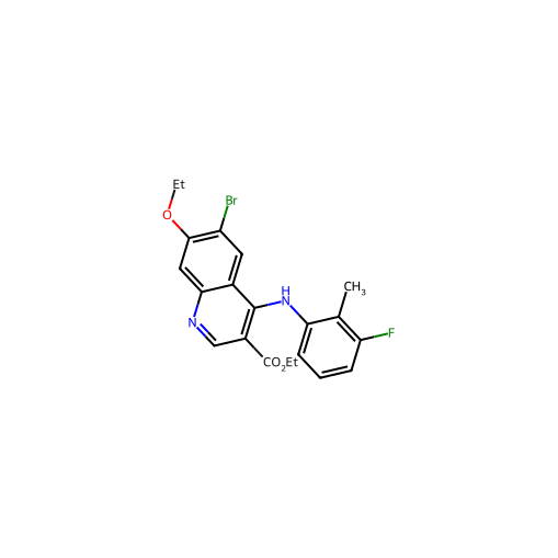 CCOC(=O)c1cnc2cc(OCC)c(Br)cc2c1Nc1cccc(F)c1C